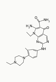 CCN1CCN(c2ccc(Nc3ncc4c(=O)c(C(N)=O)c(N)n(CC)c4n3)cc2C)CC1